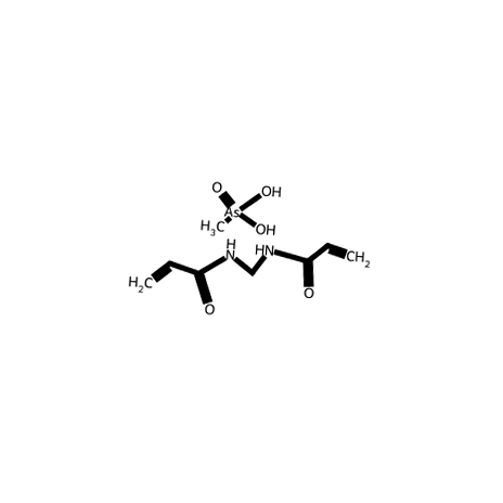 C=CC(=O)NCNC(=O)C=C.C[As](=O)(O)O